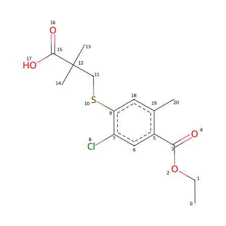 CCOC(=O)c1cc(Cl)c(SCC(C)(C)C(=O)O)cc1C